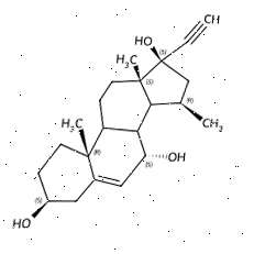 C#C[C@]1(O)C[C@@H](C)C2C3C(CC[C@@]21C)[C@@]1(C)CC[C@H](O)CC1=C[C@H]3O